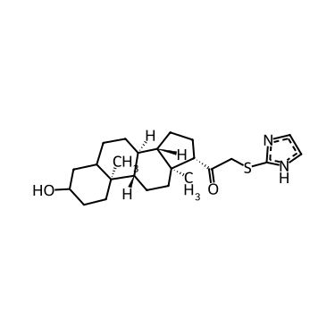 C[C@]12CC[C@H]3[C@@H](CCC4CC(O)CC[C@@]43C)[C@@H]1CC[C@@H]2C(=O)CSc1ncc[nH]1